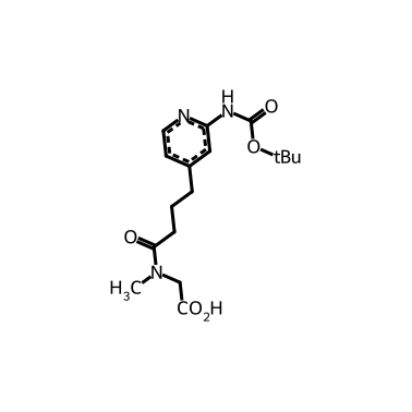 CN(CC(=O)O)C(=O)CCCc1ccnc(NC(=O)OC(C)(C)C)c1